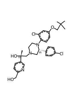 CC(C)(C)COc1ccc(N2CCN(C[C@@](C)(O)c3ccc(CO)nc3)C[C@H]2c2ccc(Cl)cc2)c(Cl)c1